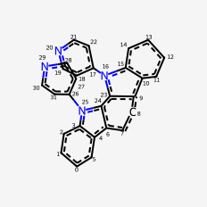 c1ccc2c(c1)c1ccc3c4ccccc4n(-c4ccncc4)c3c1n2-c1ccncc1